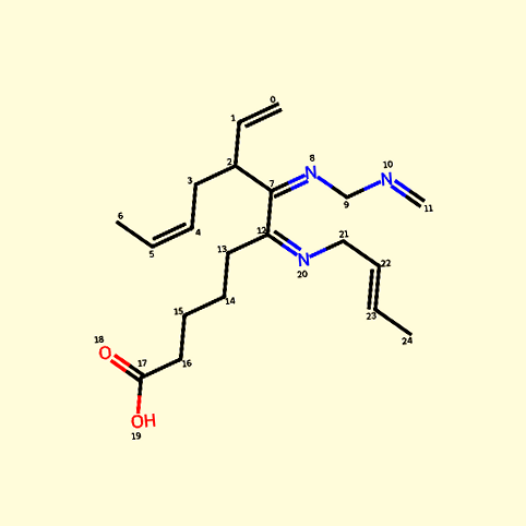 C=CC(C/C=C\C)C(=N/CN=C)/C(CCCCC(=O)O)=N\C/C=C/C